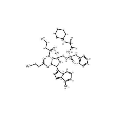 CC(C)CCC(=O)O[C@H]1[C@H](c2ccc3c(N)ncnn23)O[C@](C#N)(CO[P@@](=O)(NC(C)C(=O)OC2CCCCC2)Oc2ccccc2)[C@H]1OC(=O)CCC(C)C